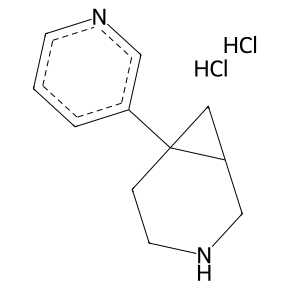 Cl.Cl.c1cncc(C23CCNCC2C3)c1